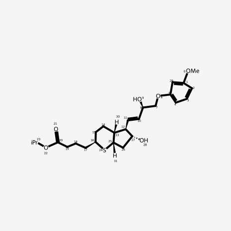 COc1cccc(OC[C@H](O)/C=C/[C@@H]2[C@H]3CC[C@H](CCCC(=O)OC(C)C)S[C@H]3C[C@H]2O)c1